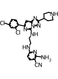 N#Cc1ccc(NCCNc2nc(-c3ccc(Cl)cc3Cl)cc3nc(C4CCNCC4)nn23)nc1N